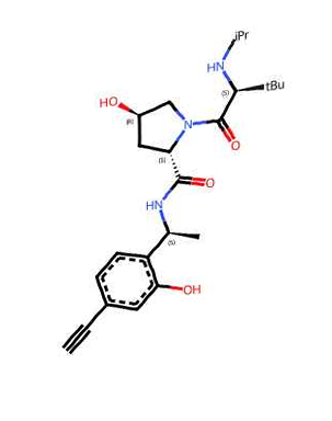 C#Cc1ccc([C@H](C)NC(=O)[C@@H]2C[C@@H](O)CN2C(=O)[C@@H](NC(C)C)C(C)(C)C)c(O)c1